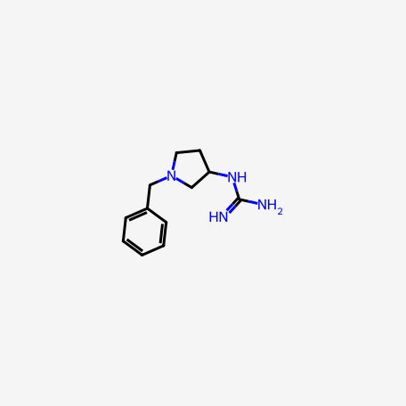 N=C(N)NC1CCN(Cc2ccccc2)C1